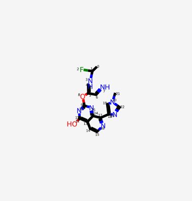 CC(F)N/C=C(\C=N)Oc1nc(O)c2ccnc(-c3cn(C)cn3)c2n1